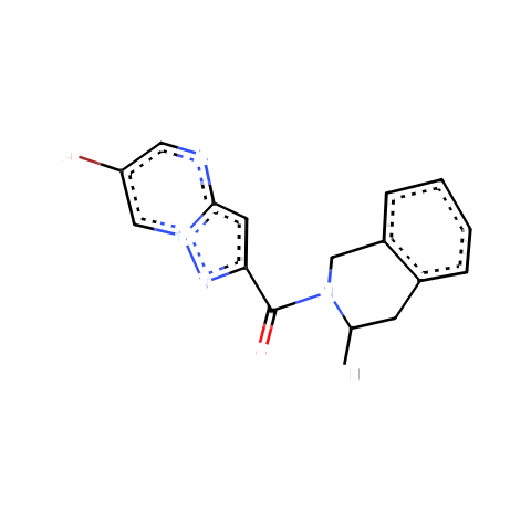 CC1Cc2ccccc2CN1C(=O)c1cc2ncc(Br)cn2n1